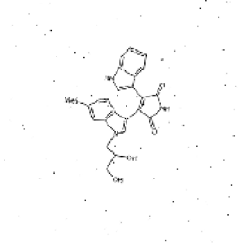 CSc1ccc2c(C3=C(c4c[nH]c5ccccc45)C(=O)NC3=O)cn(CC(O)CO)c2c1